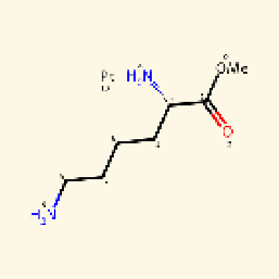 COC(=O)[C@@H](N)CCCCN.[Pt]